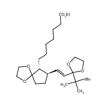 CCCCC(C)(C)C1(C=C[C@H]2CCC3(OCCO3)[C@@H]2CCCCCCC(=O)OCC)OCCO1